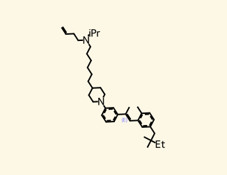 C=CCCN(CCCCCCC1CCN(c2cccc(/C(C)=C/c3cc(CC(C)(C)CC)ccc3C)c2)CC1)C(C)C